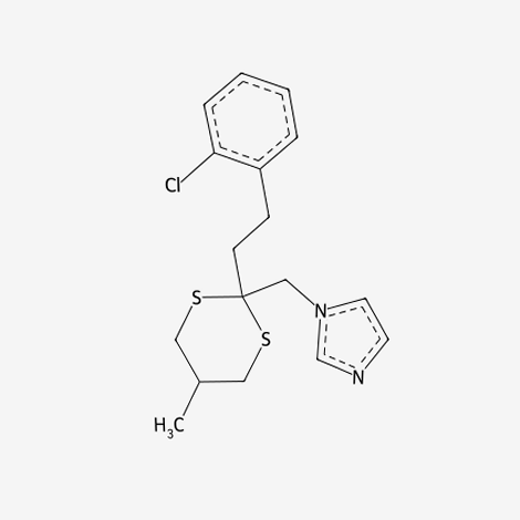 CC1CSC(CCc2ccccc2Cl)(Cn2ccnc2)SC1